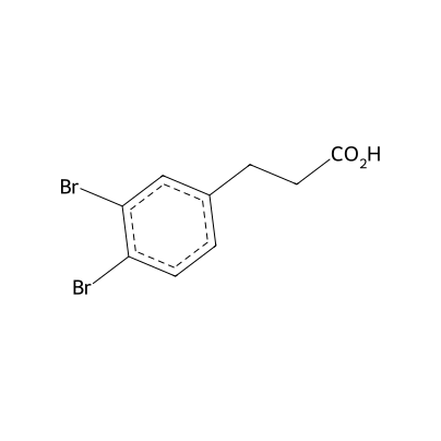 O=C(O)CCc1ccc(Br)c(Br)c1